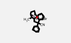 Br.CC1C(CC(C#N)(c2ccccc2)c2ccccc2)CC2CCC1N2C